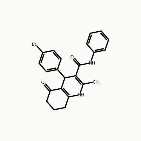 CCc1ccc(C2C(C(=O)Nc3ccccc3)=C(C)NC3=C2C(=O)CCC3)cc1